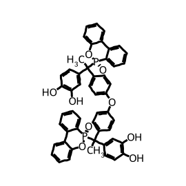 CC(c1ccc(Oc2ccc(C(C)(c3ccc(O)c(O)c3)P3(=O)Oc4ccccc4-c4ccccc43)cc2)cc1)(c1ccc(O)c(O)c1)P1(=O)Oc2ccccc2-c2ccccc21